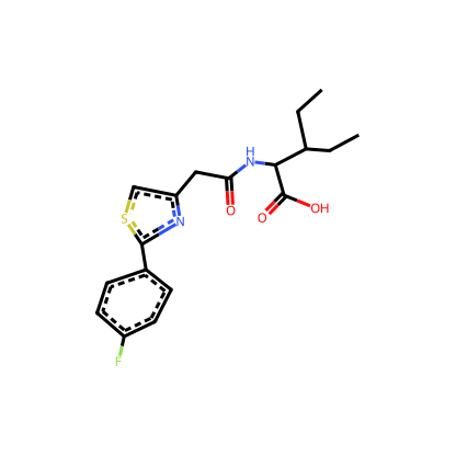 CCC(CC)C(NC(=O)Cc1csc(-c2ccc(F)cc2)n1)C(=O)O